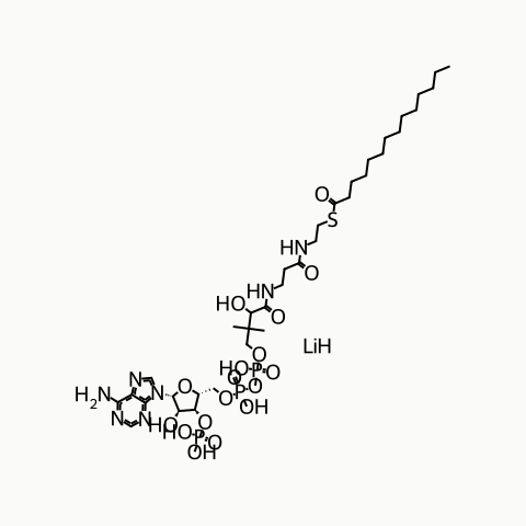 CCCCCCCCCCCCCC(=O)SCCNC(=O)CCNC(=O)C(O)C(C)(C)COP(=O)(O)OP(=O)(O)OC[C@H]1O[C@@H](n2cnc3c(N)ncnc32)[C@H](O)[C@@H]1OP(=O)(O)O.[LiH]